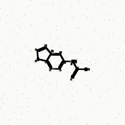 [O]C(=O)Nc1ccc2sccc2c1